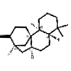 C=C1CC[C@]23C[C@H]1C[C@@H]2CC[C@H]1C(C)(C)CCC[C@@]13C